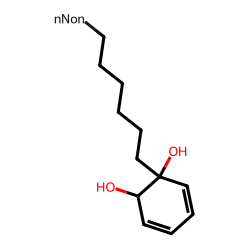 CCCCCCCCCCCCCCCC1(O)C=CC=CC1O